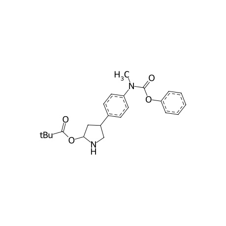 CN(C(=O)Oc1ccccc1)c1ccc(C2CNC(OC(=O)C(C)(C)C)C2)cc1